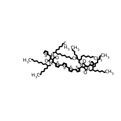 CCCCCCCCC(CCCCCC)CN1C(=O)C2=C(c3ccc(-c4ccc(-c5ccc(-c6ccc(C7=C8C(=O)N(CC(CCCCCC)CCCCCCCC)C(c9cccs9)=C8C(=O)N7CC(CCCCCC)CCCCCCCC)s6)s5)s4)s3)N(CC(CCCCCC)CCCCCCCC)C(=O)C2=C1c1cccs1